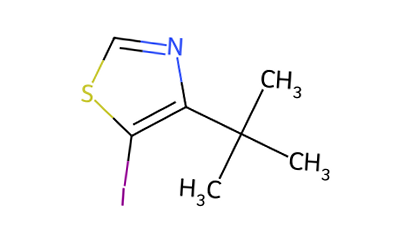 CC(C)(C)c1ncsc1I